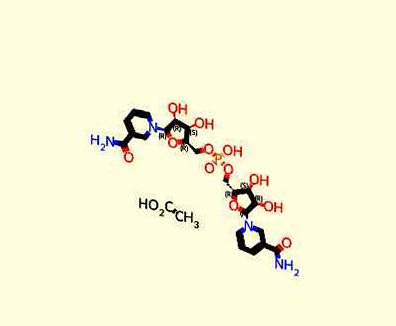 CC(=O)O.NC(=O)C1=CC=CN([C@@H]2O[C@H](COP(=O)(O)OC[C@H]3O[C@@H](N4C=CC=C(C(N)=O)C4)[C@H](O)[C@@H]3O)[C@@H](O)[C@H]2O)C1